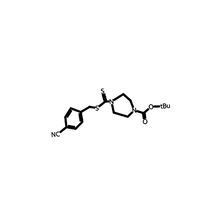 CC(C)(C)OC(=O)N1CCN(C(=S)SCc2ccc(C#N)cc2)CC1